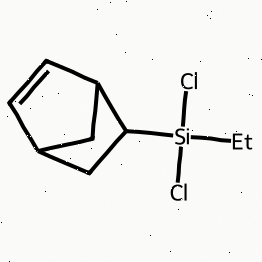 CC[Si](Cl)(Cl)C1CC2C=CC1C2